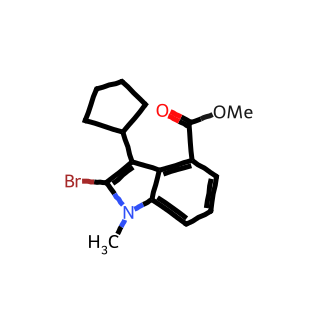 COC(=O)c1cccc2c1c(C1CCCC1)c(Br)n2C